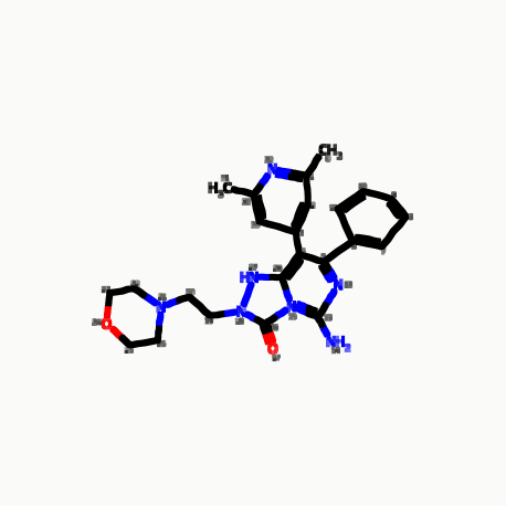 Cc1cc(-c2c(-c3ccccc3)nc(N)[n+]3c(=O)n(CCN4CCOCC4)[nH]c23)cc(C)n1